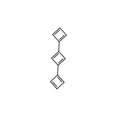 C1=CC(C2=CC(C3=CC=C3)=C2)=C1